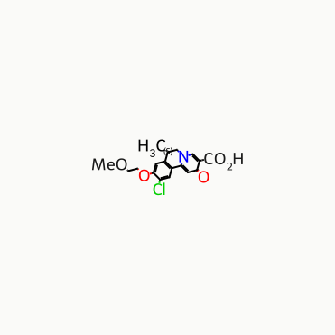 COCCOc1cc2c(cc1Cl)-c1cc(=O)c(C(=O)O)cn1C[C@H]2C